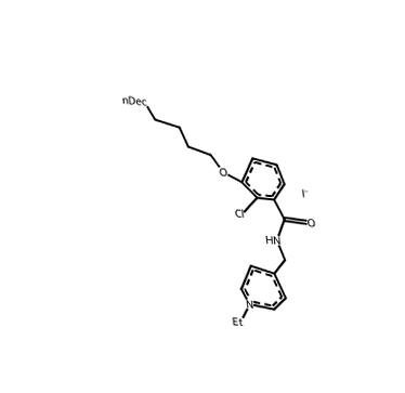 CCCCCCCCCCCCCCOc1cccc(C(=O)NCc2cc[n+](CC)cc2)c1Cl.[I-]